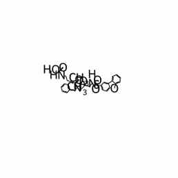 CC(C)(CCNC(=O)O)C(=O)N(CC(=O)CNS(=O)(=O)c1ccc2oc3ccccc3c2c1)Cc1ccccc1